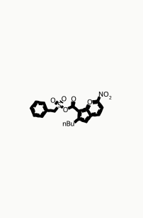 CCCCc1cc2ccc([N+](=O)[O-])oc-2c1C(=O)OS(=O)(=O)Cc1ccccc1